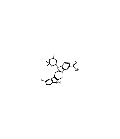 Cc1[nH]c2ccc(F)cc2c1Cc1nc2cc(C(=O)O)ccc2n1C1CC(C)CC(C)(C)C1